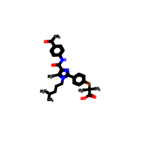 CC(=O)c1ccc(NC(=O)c2nc(-c3ccc(SC(C)(C)C(=O)O)cc3)n(CCCC(C)C)c2C)cc1